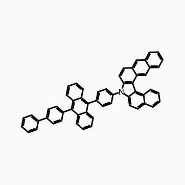 c1ccc(-c2ccc(-c3c4ccccc4c(-c4ccc(-n5c6ccc7ccccc7c6c6c7cc8ccccc8cc7ccc65)cc4)c4ccccc34)cc2)cc1